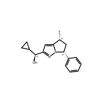 O[C@H](c1cc2n(n1)[C@@H](c1ccccc1)C[C@H]2F)C1CC1